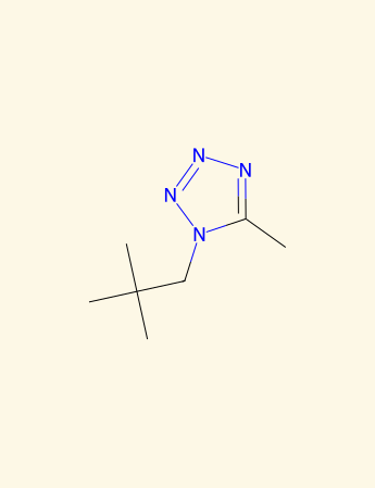 Cc1nnnn1CC(C)(C)C